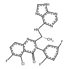 C[C@@H](Nc1ncnc2[nH]cnc12)c1nc2ccc(F)c(Cl)c2c(=O)n1-c1cc(F)ccc1F